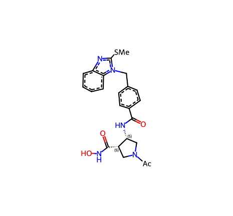 CSc1nc2ccccc2n1Cc1ccc(C(=O)N[C@@H]2CN(C(C)=O)C[C@@H]2C(=O)NO)cc1